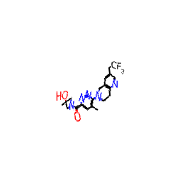 Cc1cc(C(=O)N2CC(C)(O)C2)nnc1N1CCc2ncc(CC(F)(F)F)cc2C1